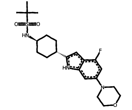 CC(C)(C)S(=O)(=O)N[C@H]1CC[C@H](c2cc3c(F)cc(N4CCOCC4)cc3[nH]2)CC1